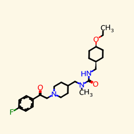 CCO[C@H]1CC[C@@H](CNC(=O)N(C)CC2CCN(CC(=O)c3ccc(F)cc3)CC2)CC1